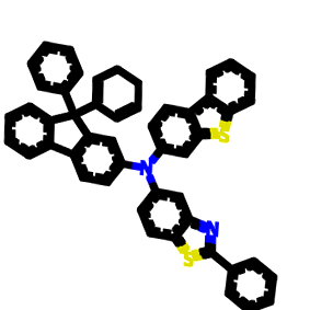 C1=CC(C2(c3ccccc3)c3ccccc3-c3ccc(N(c4ccc5sc(-c6ccccc6)nc5c4)c4ccc5c(c4)sc4ccccc45)cc32)=CCC1